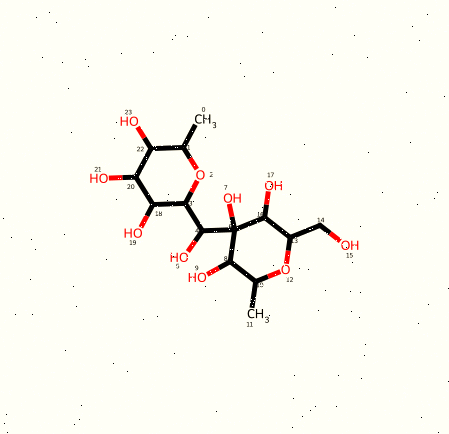 CC1OC(C(O)C2(O)C(O)C(C)OC(CO)C2O)C(O)C(O)C1O